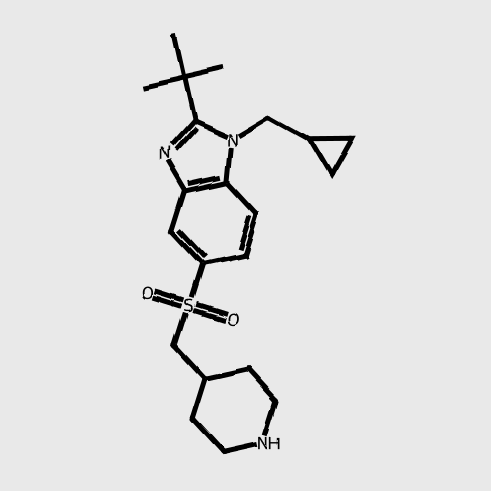 CC(C)(C)c1nc2cc(S(=O)(=O)CC3CCNCC3)ccc2n1CC1CC1